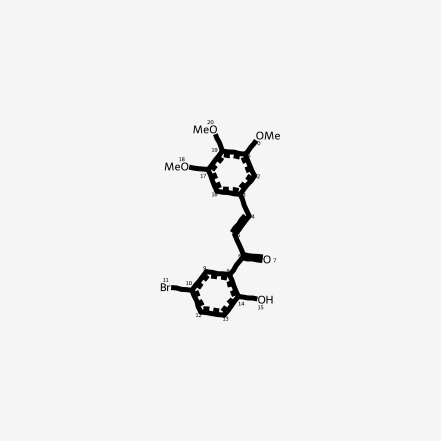 COc1cc(C=CC(=O)c2cc(Br)ccc2O)cc(OC)c1OC